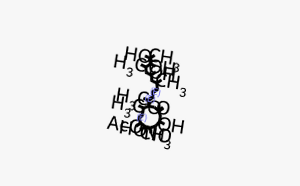 CC(=O)OC1/C=C/C(C)C(/C(C)=C/C=C/C(C)CC(O)CC(C)C(O)C(C)O)OC(=O)CC(O)CC(N=O)C1(C)O